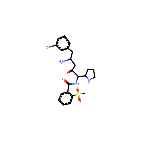 CS(=O)(=O)c1ccccc1C(=O)NC(C(=O)CC(N)Cc1cccc(Cl)c1)C1CCCN1